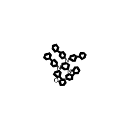 c1ccc(-c2ccc(N(c3ccc(-c4ccccc4)cc3)c3cc(N(c4ccc(-c5ccccc5)cc4)c4ccc5oc6ccccc6c5c4)cc(-n4c5ccccc5c5ccccc54)c3)cc2)cc1